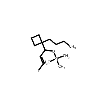 CCCCC1(C(/C=C/I)O[Si](C)(C)C)CCC1